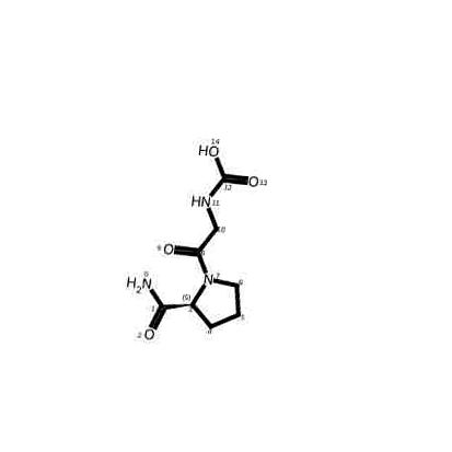 NC(=O)[C@@H]1CCCN1C(=O)CNC(=O)O